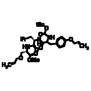 C=CCOC[C@H](NC(=O)[C@H](CC(C)C)NC(=O)[C@H](Cc1ccc(OCC=C)cc1)NC(=O)OC(C)(C)C)C(=O)OC